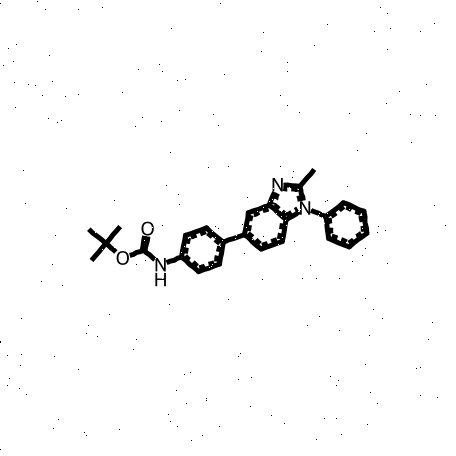 Cc1nc2cc(-c3ccc(NC(=O)OC(C)(C)C)cc3)ccc2n1-c1ccccc1